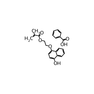 C=C(C)C(=O)OCCOc1ccc(O)c2ccccc12.O=C(O)c1ccccc1